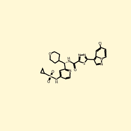 O=C(N[C@H](c1cc(NS(=O)(=O)C2CC2)ccn1)C1CCOCC1)c1nnc(-c2cnn3ccc(Cl)cc23)s1